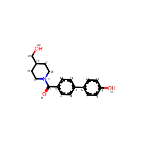 O=C(c1ccc(-c2ccc(O)cc2)cc1)N1CCC(CO)CC1